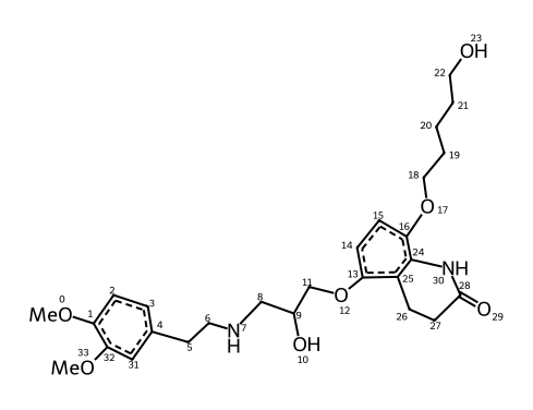 COc1ccc(CCNCC(O)COc2ccc(OCCCCCO)c3c2CCC(=O)N3)cc1OC